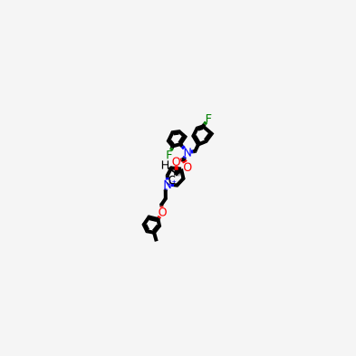 Cc1cccc(OCCC[N+]23CCC(CC2)[C@@H](OC(=O)N(Cc2ccc(F)cc2)c2ccccc2F)C3)c1